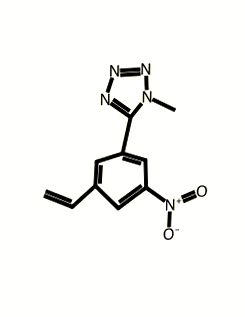 C=Cc1cc(-c2nnnn2C)cc([N+](=O)[O-])c1